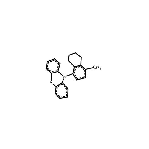 Cc1ccc(N2c3ccccc3Sc3ccccc32)c2c1CCCC2